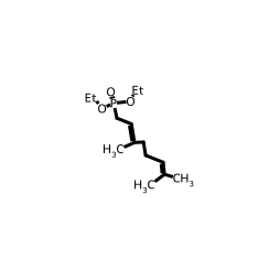 CCOP(=O)(C/C=C(\C)CCC=C(C)C)OCC